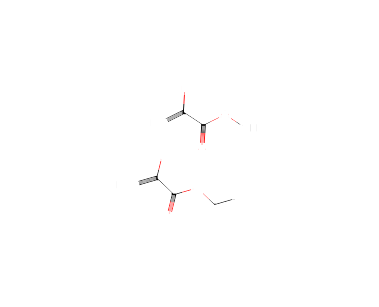 C=C(O)C(=O)OC.C=C(O)C(=O)OCC